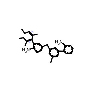 CC/C=C(C)\C(=C(\C)CC)c1cc(Cc2cc(C)cc(-c3ccccc3N)c2)ccc1N